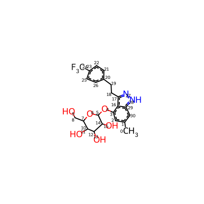 Cc1cc(OC2OC(CO)C(O)C(O)C2O)c2c(CCc3ccc(C(F)(F)F)cc3)n[nH]c2c1